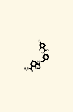 NC(=O)c1cccc2c(NCc3cccc(NC(=O)c4ccc(F)cc4F)c3)ncnc12